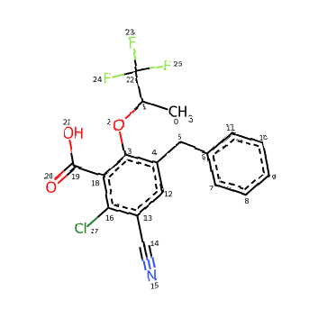 CC(Oc1c(Cc2ccccc2)cc(C#N)c(Cl)c1C(=O)O)C(F)(F)F